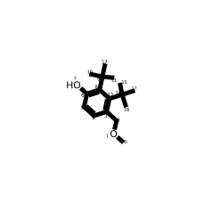 COCc1ccc(O)c(C(C)(C)C)c1C(C)(C)C